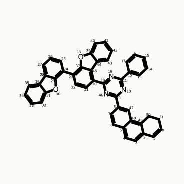 C1=Cc2ccc3ccc(-c4nc(-c5ccccc5)nc(-c5ccc(-c6cccc7c6oc6ccccc67)c6oc7ccccc7c56)n4)cc3c2CC1